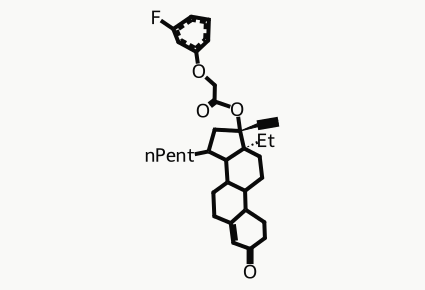 C#C[C@]1(OC(=O)COc2cccc(F)c2)CC(CCCCC)C2C3CCC4=CC(=O)CCC4C3CC[C@@]21CC